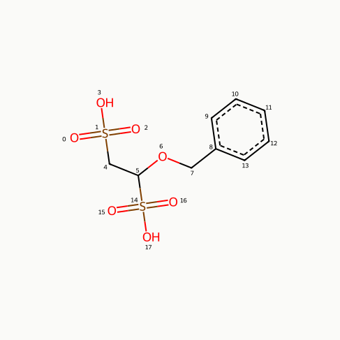 O=S(=O)(O)CC(OCc1ccccc1)S(=O)(=O)O